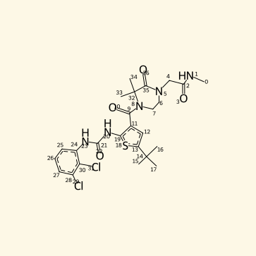 CNC(=O)CN1CCN(C(=O)c2cc(C(C)(C)C)sc2NC(=O)Nc2cccc(Cl)c2Cl)C(C)(C)C1=O